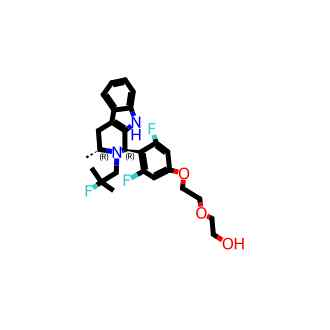 C[C@@H]1Cc2c([nH]c3ccccc23)[C@@H](c2c(F)cc(OCCOCCO)cc2F)N1CC(C)(C)F